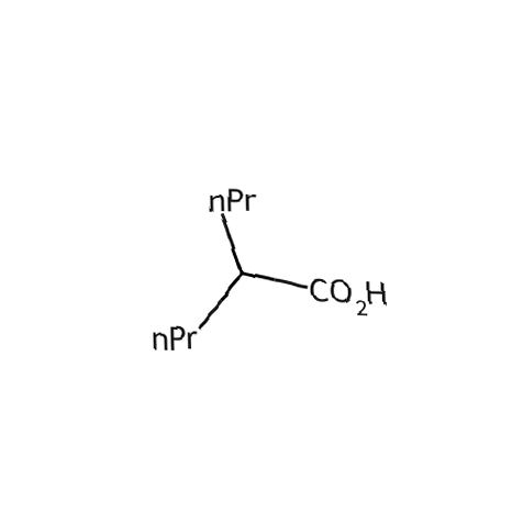 [13CH3][13CH2]CC(C[13CH2][13CH3])C(=O)O